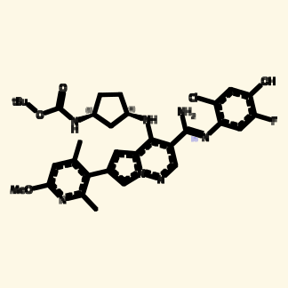 COc1cc(C)c(-c2cc3c(N[C@@H]4CC[C@H](NC(=O)OC(C)(C)C)C4)c(/C(N)=N/c4cc(F)c(O)cc4Cl)cnn3c2)c(C)n1